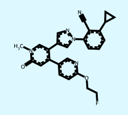 Cn1cc(-c2cnn(-c3cccc(C4CC4)c3C#N)c2)c(-c2ccc(OCCF)nc2)cc1=O